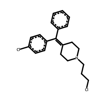 ClCCCN1CCC(=C(c2ccccc2)c2ccc(Cl)cc2)CC1